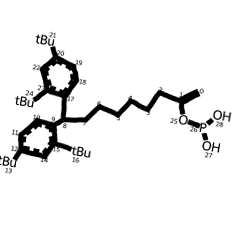 C=C(CCCCCCC(c1ccc(C(C)(C)C)cc1C(C)(C)C)c1ccc(C(C)(C)C)cc1C(C)(C)C)OP(O)O